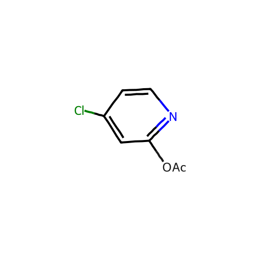 CC(=O)Oc1cc(Cl)ccn1